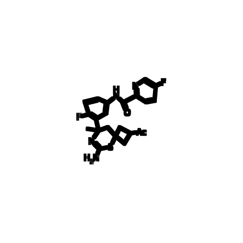 CC(=O)C1CC2(C1)CC(C)(c1cc(NC(=O)c3ccc(F)cn3)ccc1F)N=C(N)S2